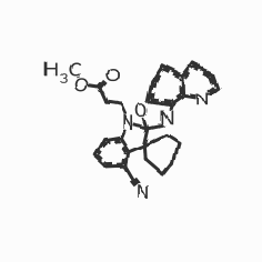 COC(=O)CCN1c2cccc(C#N)c2C2(CCCCC2)C12C=Nc1c(ccc3cccnc13)O2